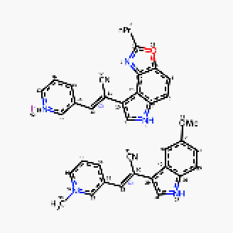 CCCc1nc2c(ccc3[nH]cc(/C(C#N)=C/c4cccnc4)c32)o1.COc1ccc2[nH]cc(/C(C#N)=C/c3ccc[n+](C)c3)c2c1.[I-]